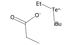 CCC(=O)[O-].CC[Te+]C(C)CC